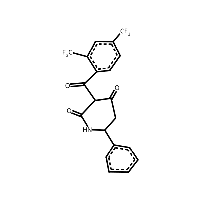 O=C1CC(c2ccccc2)NC(=O)C1C(=O)c1ccc(C(F)(F)F)cc1C(F)(F)F